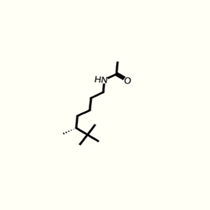 CC(=O)NCCCC[C@@H](C)C(C)(C)C